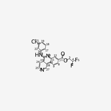 O=C(OCC(F)F)c1ccc2c(c1)nc(Nc1cccc(Cl)c1)c1ccncc12